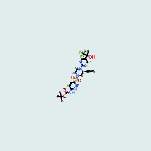 CC#C[C@H]1CN(S(=O)(=O)c2ccc(NC(=O)OC(C)(C)C)nn2)CCN1c1ncc(C(C)(O)C(F)(F)F)cn1